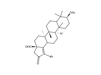 CC(=O)O[C@H]1CCC2(C)C(CC[C@]3(C)[C@@H]2CCC2C4=C(C(C)C)C(=O)C[C@]4(C=O)CC[C@]23C)C1(C)C